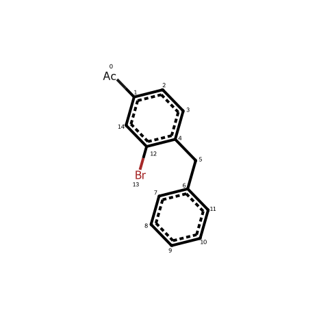 CC(=O)c1ccc(Cc2ccccc2)c(Br)c1